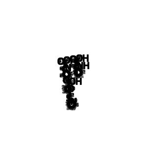 Cn1c(C(=O)O)cc2ccccc21.O=C(O)c1cc2ccccc2[nH]1.O=C(O)c1ccc(CSc2ccccn2)o1